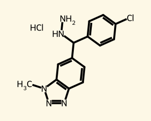 Cl.Cn1nnc2ccc(C(NN)c3ccc(Cl)cc3)cc21